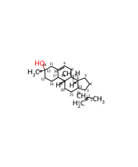 C=C(C)[C@H]1CC[C@H]2[C@@H]3CC=C4C[C@@](C)(O)CC[C@]4(C)[C@H]3CC[C@]12C